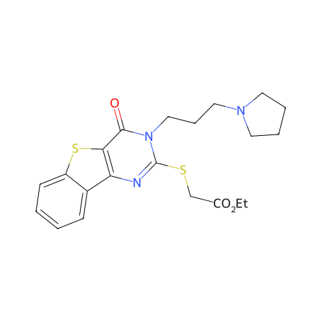 CCOC(=O)CSc1nc2c(sc3ccccc32)c(=O)n1CCCN1CCCC1